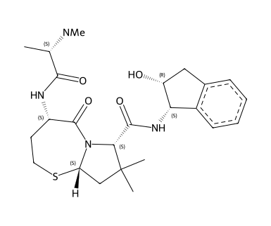 CN[C@@H](C)C(=O)N[C@H]1CCS[C@H]2CC(C)(C)[C@@H](C(=O)N[C@H]3c4ccccc4C[C@H]3O)N2C1=O